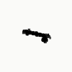 CC1(C)c2ccc(C3CCN(c4cnc(N5CCN(c6cc(F)c(C7CCC(=O)NC7=O)c(F)c6)CC5)cn4)CC3)cc2-n2c1nc(=O)c1c(Cl)cccc12